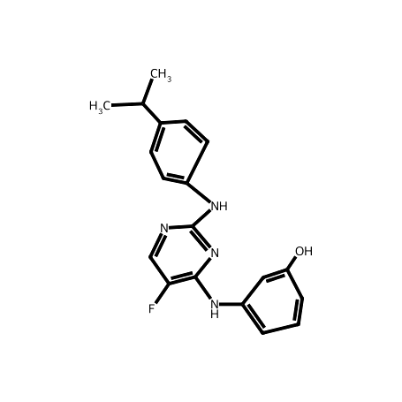 CC(C)c1ccc(Nc2ncc(F)c(Nc3cccc(O)c3)n2)cc1